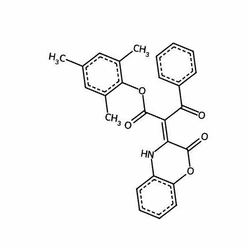 Cc1cc(C)c(OC(=O)C(C(=O)c2ccccc2)=C2Nc3ccccc3OC2=O)c(C)c1